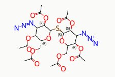 CC(=O)OCC1O[C@@H](SC2O[C@H](COC(C)=O)C(OC(C)=O)C(N=[N+]=[N-])[C@H]2OC(C)=O)[C@@H](OC(C)=O)C(N=[N+]=[N-])[C@H]1OC(C)=O